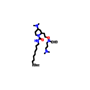 CCCCCCCCCCCCCCCCCCNC(=O)N1CCC(N(C)C)CC1CCON(C=O)CCCN(C)C